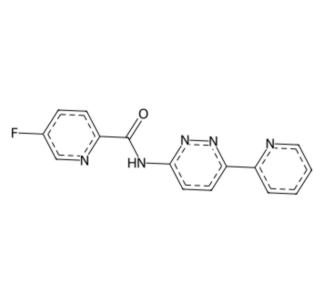 O=C(Nc1ccc(-c2ccccn2)nn1)c1ccc(F)cn1